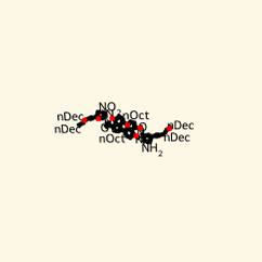 CCCCCCCCCCCCC(C#Cc1cc(N)c2nc3c4cc(CCCCCCCC)c5c6ccc7c(=O)n8c9cc(C#CC(CCCCCCCCCC)CCCCCCCCCCCC)cc([N+](=O)[O-])c9nc8c8cc(CCCCCCCC)c(c9ccc(c(=O)n3c2c1)c4c95)c6c78)CCCCCCCCCC